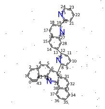 c1ccc2ccc3c(-c4cccc(-c5ccc6ccc(-c7ccccn7)nc6c5)n4)c4ccc5ccccc5c4nc3c2c#1